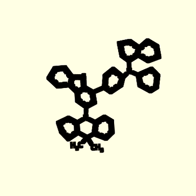 CC1(C)c2ccccc2N(c2cc(-c3ccc(N(c4ccccc4)c4cccc5ccccc45)cc3)c3sc4ccccc4c3c2)c2ccccc21